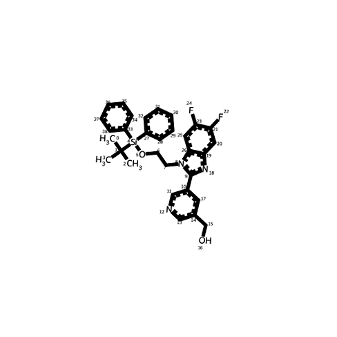 CC(C)(C)[Si](OCCn1c(-c2cncc(CO)c2)nc2cc(F)c(F)cc21)(c1ccccc1)c1ccccc1